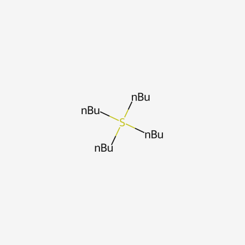 CCCCS(CCCC)(CCCC)CCCC